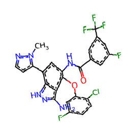 Cn1nccc1-c1cc(NC(=O)c2cc(F)cc(C(F)(F)F)c2)c(Oc2cc(F)ccc2Cl)c2c(N)n[nH]c12